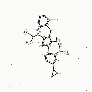 Cc1c(Oc2c(F)cccc2F)c(OC(C)C)nn1-c1ncc(C2CC2)cc1N(C)C